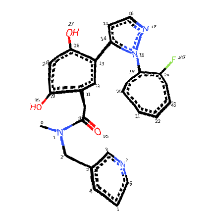 CN(Cc1cccnc1)C(=O)c1cc(-c2ccnn2-c2ccccc2F)c(O)cc1O